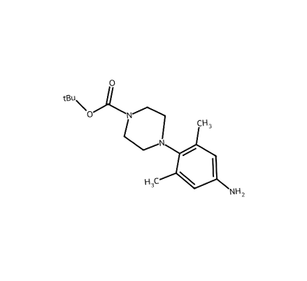 Cc1cc(N)cc(C)c1N1CCN(C(=O)OC(C)(C)C)CC1